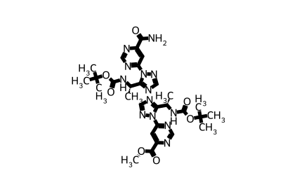 COC(=O)c1cc(-n2ncnc2[C@H](C)NC(=O)OC(C)(C)C)ncn1.C[C@H](NC(=O)OC(C)(C)C)c1ncnn1-c1cc(C(N)=O)ncn1